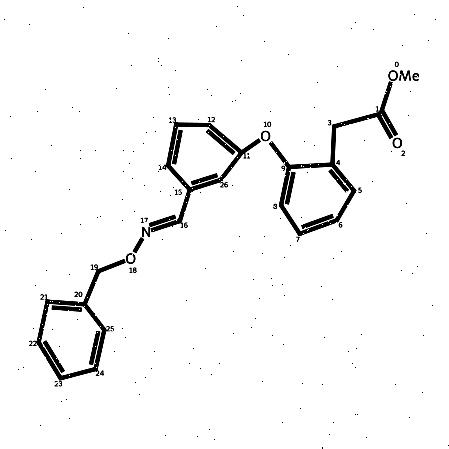 COC(=O)Cc1ccccc1Oc1cccc(C=NOCc2ccccc2)c1